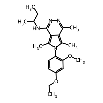 CCOc1ccc(-n2c(C)c3c(C)nnc(NC(C)CC)c3c2C)c(OC)c1